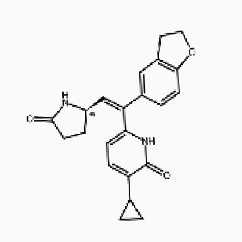 O=C1CC[C@H](C=C(c2ccc3c(c2)CCO3)c2ccc(C3CC3)c(=O)[nH]2)N1